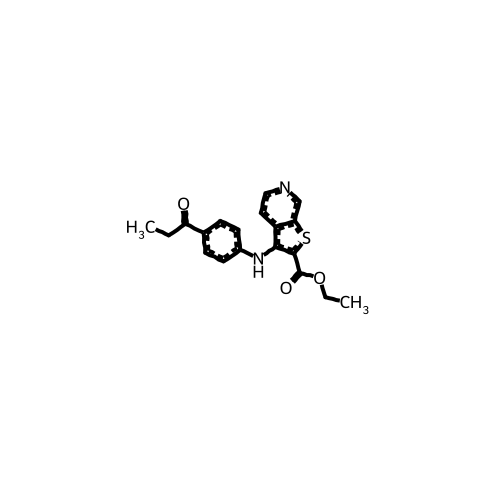 CCOC(=O)c1sc2cnccc2c1Nc1ccc(C(=O)CC)cc1